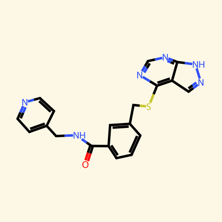 O=C(NCc1ccncc1)c1cccc(CSc2ncnc3[nH]ncc23)c1